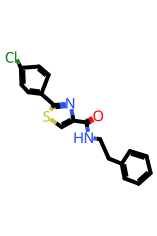 O=C(NCCc1ccccc1)c1csc(-c2ccc(Cl)cc2)n1